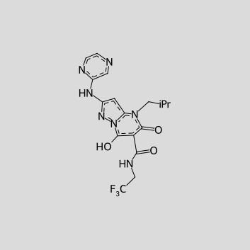 CC(C)Cn1c(=O)c(C(=O)NCC(F)(F)F)c(O)n2nc(Nc3cnccn3)cc12